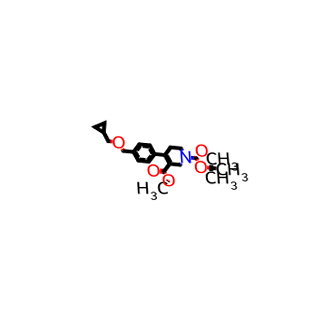 COC(=O)C1=C(c2ccc(COCC3CC3)cc2)CCN(C(=O)OC(C)(C)C)C1